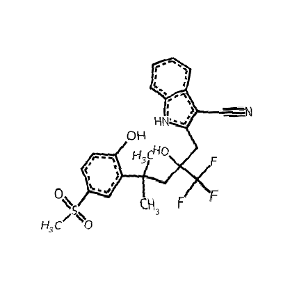 CC(C)(CC(O)(Cc1[nH]c2ccccc2c1C#N)C(F)(F)F)c1cc(S(C)(=O)=O)ccc1O